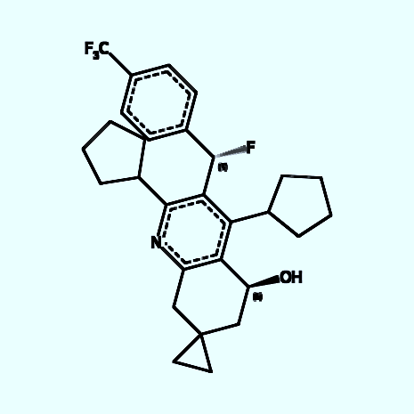 O[C@H]1CC2(CC2)Cc2nc(C3CCCC3)c([C@@H](F)c3ccc(C(F)(F)F)cc3)c(C3CCCC3)c21